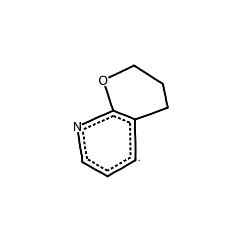 [c]1ccnc2c1CCCO2